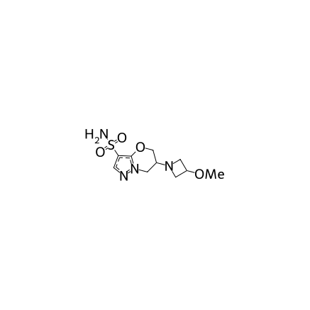 COC1CN(C2COc3c(S(N)(=O)=O)cnn3C2)C1